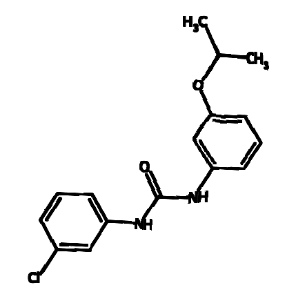 CC(C)Oc1cccc(NC(=O)Nc2cccc(Cl)c2)c1